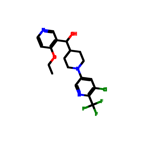 CCOc1ccncc1C(O)C1CCN(c2cnc(C(F)(F)F)c(Cl)c2)CC1